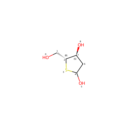 OC[C@H]1SC(O)C[C@@H]1O